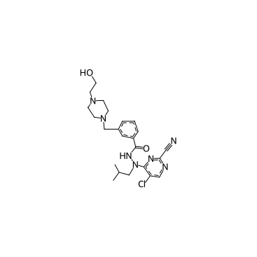 CC(C)CN(NC(=O)c1cccc(CN2CCN(CCO)CC2)c1)c1nc(C#N)ncc1Cl